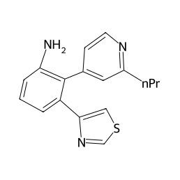 CCCc1cc(-c2c(N)cccc2-c2cscn2)ccn1